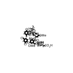 COC(=O)c1cc(Oc2ccc(Cl)cc2Cl)ccc1[N+](=O)[O-].COc1cc(OC)n2nc(S(=O)(=O)Nc3c(Cl)ccc(C)c3Cl)nc2n1.C[S+](C)C.O=C(O)CNCP(=O)([O-])O